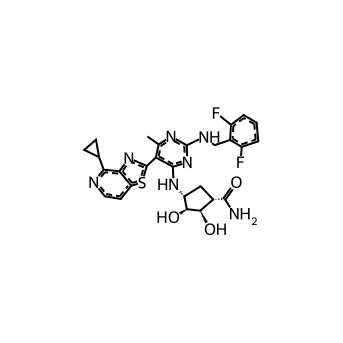 Cc1nc(NCc2c(F)cccc2F)nc(N[C@@H]2C[C@H](C(N)=O)[C@@H](O)[C@H]2O)c1-c1nc2c(C3CC3)nccc2s1